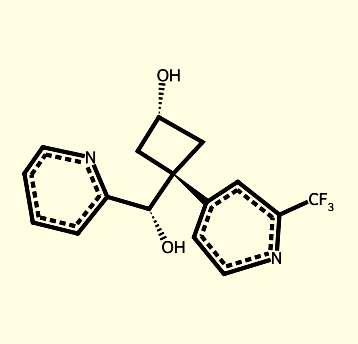 O[C@H](c1ccccn1)[C@]1(c2ccnc(C(F)(F)F)c2)C[C@H](O)C1